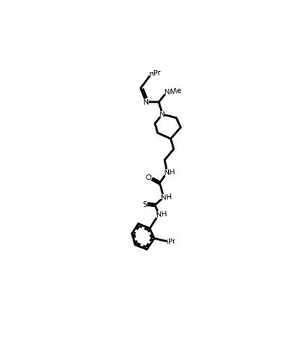 CCC/C=N\C(NC)N1CCC(CCNC(=O)NC(=S)Nc2ccccc2C(C)C)CC1